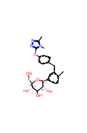 Cc1ccc([C@@H]2O[C@H](CO)[C@@H](O)C(O)[C@H]2O)cc1Cc1ccc(Oc2nnc(C)n2C)cc1